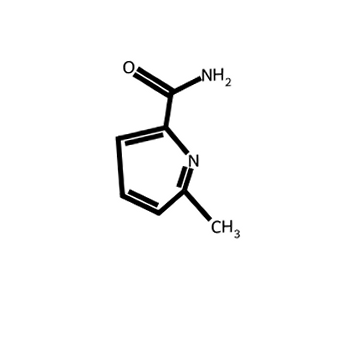 Cc1cccc(C(N)=O)n1